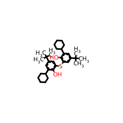 CC(C)(C)c1cc(Sc2cc(C(C)(C)C)cc(C3CCCCC3)c2O)c(O)c(C2CCCCC2)c1